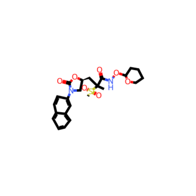 CC(C[C@H]1CN(c2ccc3ccccc3c2)C(=O)O1)(C(=O)NOC1CCCCO1)S(C)(=O)=O